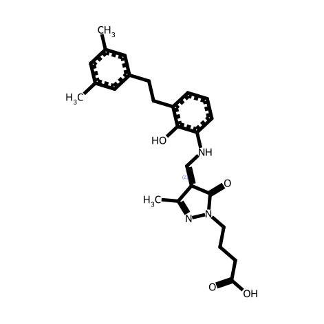 CC1=NN(CCCC(=O)O)C(=O)/C1=C\Nc1cccc(CCc2cc(C)cc(C)c2)c1O